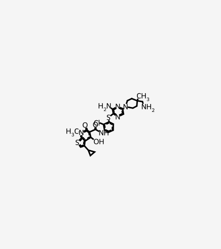 Cn1c(=O)c(C(=O)Nc2cccc(Sc3ncc(N4CCC(C)(CN)CC4)nc3N)c2Cl)c(O)c2c(C3CC3)csc21